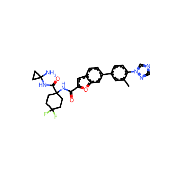 Cc1cc(-c2ccc3cc(C(=O)NC4(C(=O)NC5(N)CC5)CCC(F)(F)CC4)oc3c2)ccc1-n1cncn1